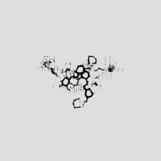 CC(C)(C)OC(=O)n1c(-c2cc(OCCCNS(C)(=O)=O)c(Cl)c3c2C(C(=O)C2NCc4c(Cl)c(OCCCNS(C)(=O)=O)cc(-c5cc6cc(CN7CCCCC7)ccc6n5C(=O)OC(C)(C)C)c42)NC3)cc2cc(CN3CCCCC3)ccc21